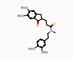 COc1ccc(CCN(C)C(=O)CCC2Cc3cc(OC)c(OC)cc3C2=O)cc1OC